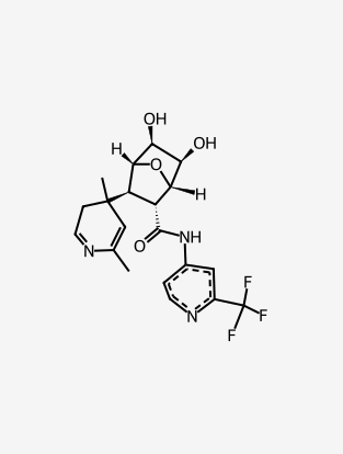 CC1=CC(C)([C@H]2[C@H]3O[C@H]([C@H](O)[C@@H]3O)[C@@H]2C(=O)Nc2ccnc(C(F)(F)F)c2)CC=N1